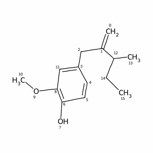 C=C(Cc1ccc(O)c(OC)c1)C(C)CC